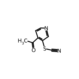 CC(=O)c1ccncc1SC#N